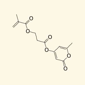 C=C(C)C(=O)OCCC(=O)Oc1cc(C)oc(=O)c1